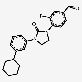 O=Cc1ccc(N2CCN(c3cccc(C4CCCCC4)c3)C2=O)c(F)c1